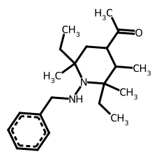 CCC1(C)CC(C(C)=O)C(C)C(C)(CC)N1NCc1ccccc1